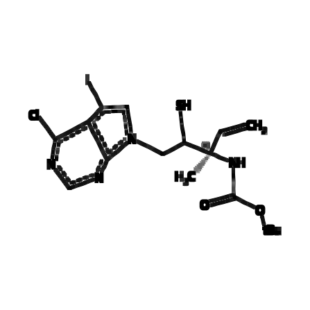 C=C[C@@](C)(NC(=O)OC(C)(C)C)C(S)Cn1cc(I)c2c(Cl)ncnc21